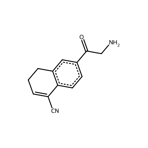 N#CC1=CCCc2cc(C(=O)CN)ccc21